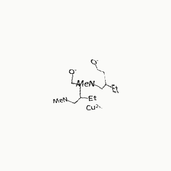 CCC(CC[O-])CNC.CCC(CC[O-])CNC.[Cu+2]